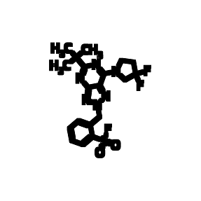 CC(C)(C)c1nc(N2CCC(F)(F)C2)c2nn(Cc3ccccc3S(=O)(=O)F)nc2n1